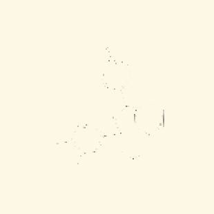 O=C(NC1(c2ccc(Cl)c(Cl)c2)CCOc2cccnc21)c1ccc(=O)[nH]c1